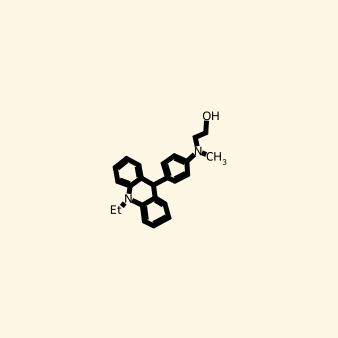 CCN1c2ccccc2C(c2ccc(N(C)CCO)cc2)c2ccccc21